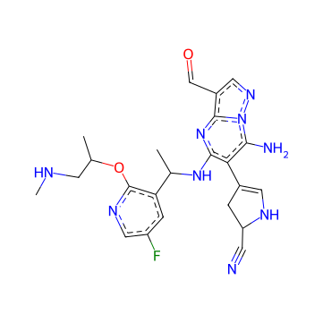 CNCC(C)Oc1ncc(F)cc1C(C)Nc1nc2c(C=O)cnn2c(N)c1C1=CNC(C#N)C1